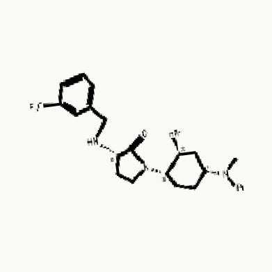 CCC[C@H]1C[C@H](N(C)C(C)C)CC[C@@H]1N1CC[C@H](NCc2cccc(C(F)(F)F)c2)C1=O